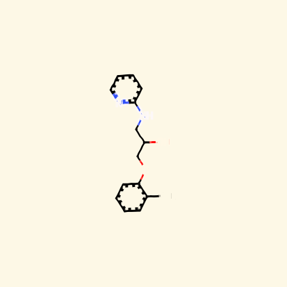 Cc1ccccc1OCC(O)CNc1ccccn1